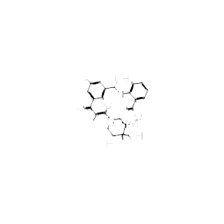 Cc1cc([C@@H](C)Nc2ccccc2C(=O)OC(C)(C)C)c2oc(N3CCC(C)(C)CC3)c(I)c(=O)c2c1